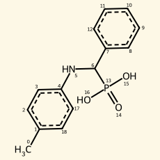 Cc1ccc(NC(c2ccccc2)P(=O)(O)O)cc1